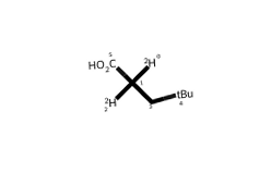 [2H]C([2H])(CC(C)(C)C)C(=O)O